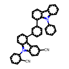 N#Cc1ccc2c(c1)c1c(-c3cccc(-c4cccc5c6ccccc6n(-c6ccccc6)c45)c3)cccc1n2-c1ccccc1C#N